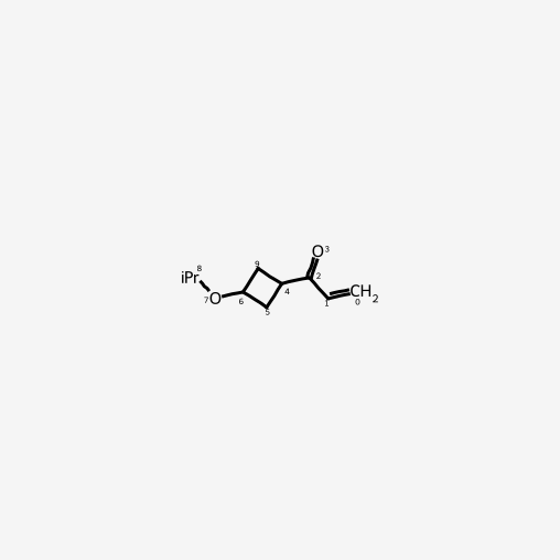 C=CC(=O)C1CC(OC(C)C)C1